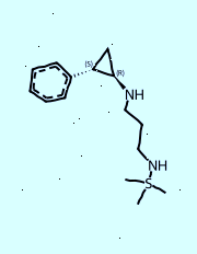 CS(C)(C)NCCCN[C@@H]1C[C@H]1c1ccccc1